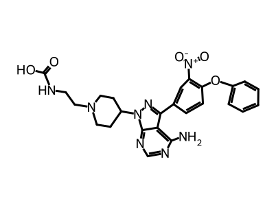 Nc1ncnc2c1c(-c1ccc(Oc3ccccc3)c([N+](=O)[O-])c1)nn2C1CCN(CCNC(=O)O)CC1